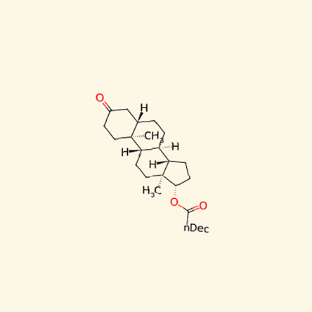 CCCCCCCCCCC(=O)O[C@H]1CC[C@H]2[C@@H]3CC[C@H]4CC(=O)CC[C@]4(C)[C@H]3CC[C@]12C